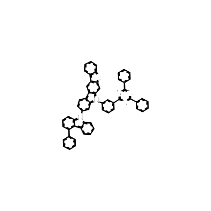 c1ccc(-c2nc(-c3ccccc3)nc(-c3cccc(-n4c5cc(-n6c7ccccc7c7c(-c8ccccc8)cccc76)ccc5c5cc6c(cc54)sc4ccccc46)c3)n2)cc1